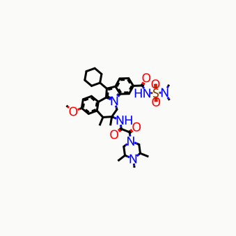 COc1ccc2c(c1)C(C)C(C)(NC(=O)C(=O)N1CC(C)N(C)C(C)C1)Cn1c-2c(C2CCCCC2)c2ccc(C(=O)NS(=O)(=O)N(C)C)cc21